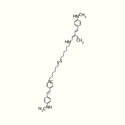 C=CC(/C=C/c1ccc(NC)cc1)=C\CNCCCCCCSSCCCCCC[n+]1ccc(/C=C/c2ccc(NC)cc2)cc1